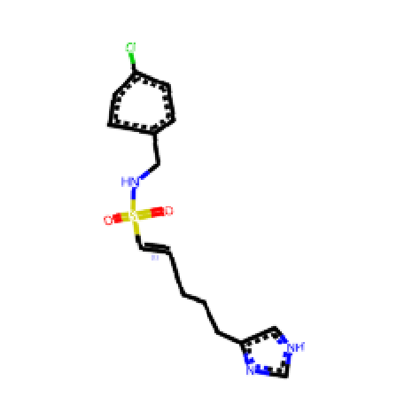 O=S(=O)(/C=C/CCCc1c[nH]cn1)NCc1ccc(Cl)cc1